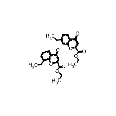 CCOC(=O)c1cc(=O)c2ccc(CC)cc2o1.CCOC(=O)c1cc(=O)c2cccc(CC)c2o1